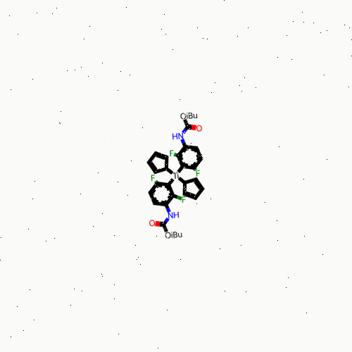 CC(C)COC(=O)Nc1ccc(F)[c]([Ti]([c]2c(F)ccc(NC(=O)OCC(C)C)c2F)([CH]2C=CC=C2)[CH]2C=CC=C2)c1F